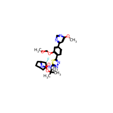 COCOc1cc(-c2cc(OC)ncn2)ccc1-c1nnc(N(C)[C@@H]2CC3CCC([C@@H]2F)N3C(=O)OC(C)(C)C)s1